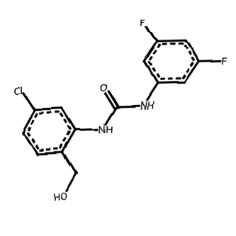 O=C(Nc1cc(F)cc(F)c1)Nc1cc(Cl)ccc1CO